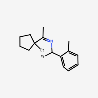 CCC(/N=C(/C)C1(CC)CCCC1)c1ccccc1C